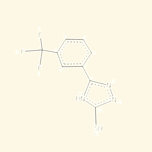 FC(F)(F)c1cccc(-c2nnc(S)[nH]2)c1